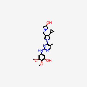 COc1cc(Nc2ncc(C)c(N3C=C(CN4CC(O)C4)C(C4CC4)C3)n2)cc(O)c1OC